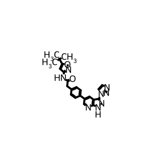 CC(C)(C)c1cc(NC(=O)Cc2ccc(-c3cnc4[nH]nc(-n5ccnn5)c4c3)cc2)no1